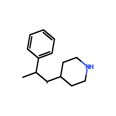 CC([CH]C1CCNCC1)c1ccccc1